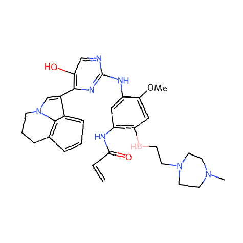 C=CC(=O)Nc1cc(Nc2ncc(O)c(-c3cn4c5c(cccc35)CCC4)n2)c(OC)cc1BCCN1CCN(C)CC1